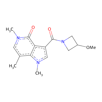 COC1CN(C(=O)c2cn(C)c3c(C)cn(C)c(=O)c23)C1